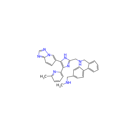 CNCc1ccc(-c2ccccc2CNCc2nc(-c3cccc(C)n3)c(-c3ccc4ncnn4c3)[nH]2)cc1